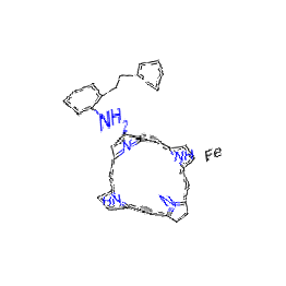 C1=Cc2cc3ccc(cc4nc(cc5ccc(cc1n2)[nH]5)C=C4)[nH]3.Nc1ccccc1CCc1ccccc1.[Fe]